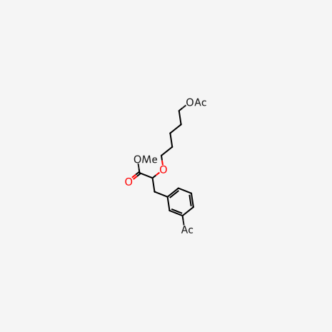 COC(=O)C(Cc1cccc(C(C)=O)c1)OCCCCCOC(C)=O